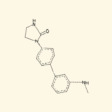 CNc1cccc(-c2ccc(N3CCNC3=O)cc2)c1